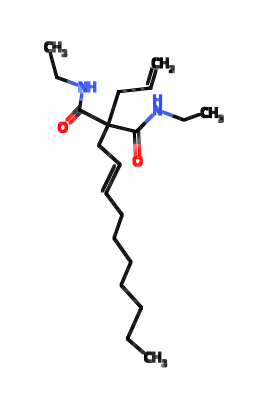 C=CCC(C/C=C/CCCCCCC)(C(=O)NCC)C(=O)NCC